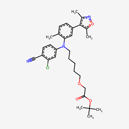 Cc1ccc(-c2c(C)noc2C)cc1N(CCCCCOCC(=O)OC(C)(C)C)c1ccc(C#N)c(Cl)c1